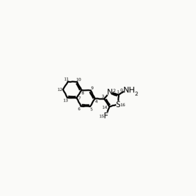 Nc1nc(-c2ccc3c(c2)=CCCC=3)c(F)s1